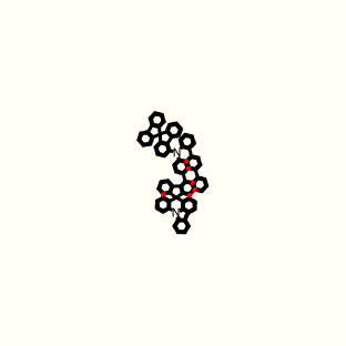 c1ccc(-c2ccc(-c3ccccc3N(c3ccc(-c4cccc5c4-c4ccccc4C54c5ccccc5-n5c6ccccc6c6cccc4c65)cc3)c3cccc4c3-c3ccccc3C43c4ccccc4-c4ccccc43)cc2)cc1